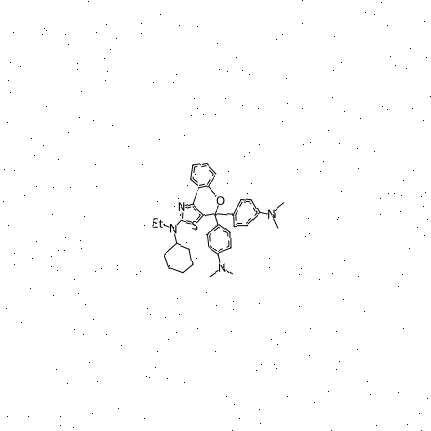 CCN(c1nc2c(s1)C(c1ccc(N(C)C)cc1)(c1ccc(N(C)C)cc1)Oc1ccccc1-2)C1CCCCC1